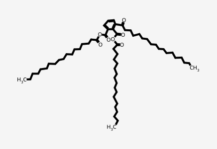 CCCCCCCCCCCCCCCCCC(=O)OC(=O)c1cccc(C(=O)CCCCCCCCCCCCCCCCC)c1C(=O)OC(=O)CCCCCCCCCCCCCCCCC